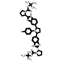 CC(C)(C)OC(=O)N1CCCC1c1nc2cc(C3CCC(c4ccc5[nH]c([C@@H]6CCCN6C(=O)OC(C)(C)C)nc5c4)N3c3ccc(F)cc3)ccc2[nH]1